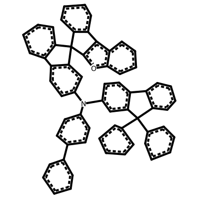 c1ccc(-c2ccc(N(c3ccc4c(c3)C(c3ccccc3)(c3ccccc3)c3ccccc3-4)c3ccc4c(c3)C3(c5ccccc5-4)c4ccccc4-c4c3oc3ccccc43)cc2)cc1